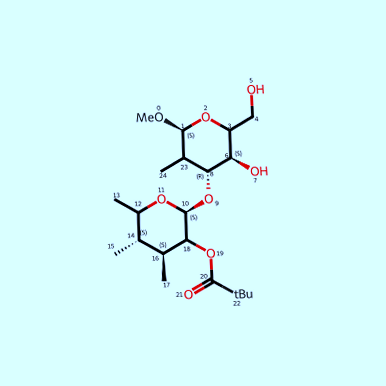 CO[C@H]1OC(CO)[C@@H](O)[C@H](O[C@@H]2OC(C)[C@@H](C)[C@H](C)C2OC(=O)C(C)(C)C)C1C